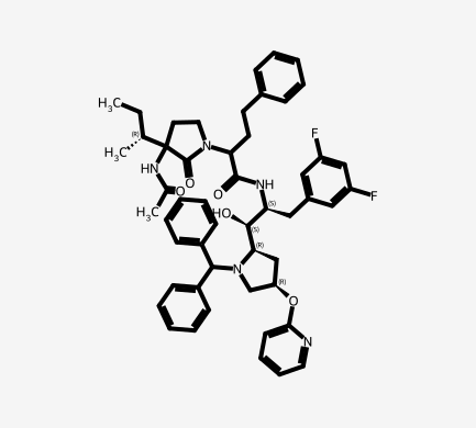 CC[C@@H](C)C1(NC(C)=O)CCN(C(CCc2ccccc2)C(=O)N[C@@H](Cc2cc(F)cc(F)c2)[C@H](O)[C@H]2C[C@@H](Oc3ccccn3)CN2C(c2ccccc2)c2ccccc2)C1=O